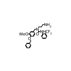 COc1cc(CN(CCCN)C(=O)Nc2ccccc2C(F)(F)F)ccc1OCc1ccccc1